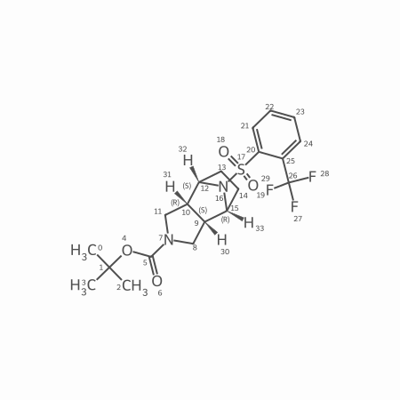 CC(C)(C)OC(=O)N1C[C@@H]2[C@H](C1)[C@@H]1CC[C@H]2N1S(=O)(=O)c1ccccc1C(F)(F)F